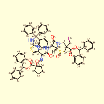 O=C(NC1C(=O)N2CC(CI)(C(=O)OC(c3ccccc3)c3ccccc3)C[S+]([O-])[C@H]12)C(=NOC1(C(=O)OC(c2ccccc2)c2ccccc2)CCCC1)c1csc(NC(c2ccccc2)(c2ccccc2)c2ccccc2)n1